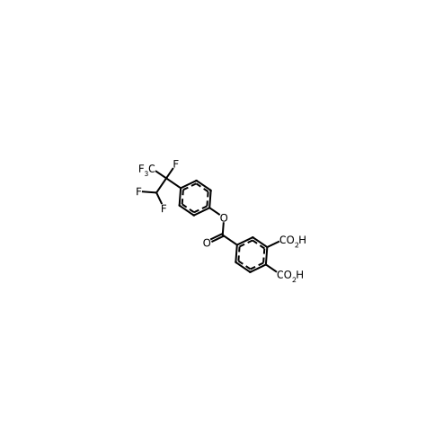 O=C(Oc1ccc(C(F)(C(F)F)C(F)(F)F)cc1)c1ccc(C(=O)O)c(C(=O)O)c1